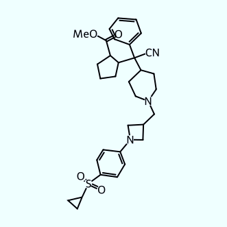 COC(=O)C1CCCC1C(C#N)(c1ccccc1)C1CCN(CC2CN(c3ccc(S(=O)(=O)C4CC4)cc3)C2)CC1